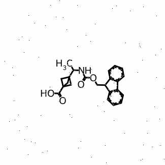 CC(NC(=O)OCC1c2ccccc2-c2ccccc21)C12CC(C(=O)O)(C1)C2